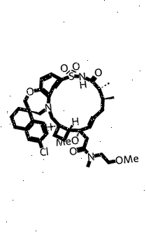 COCCN(C)C(=O)C[C@]1(OC)/C=C/C[C@H](C)[C@@H](C)C(=O)NS(=O)(=O)c2ccc3c(c2)N(C[C@@H]2CC[C@H]21)C[C@@]1(CCCc2cc(Cl)ccc21)CO3